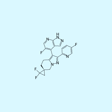 Fc1ccc(-c2nn3c(c2-c2c(F)cnc4[nH]ncc24)CC[C@@]2(C3)CC2(F)F)nc1